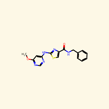 COc1cc(Nc2nc(C(=O)NCc3ccccc3)cs2)ncn1